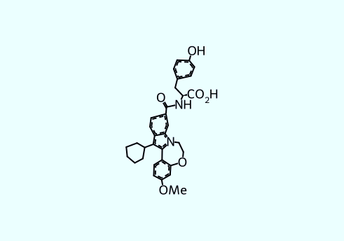 COc1ccc2c(c1)OCCn1c-2c(C2CCCCC2)c2ccc(C(=O)N[C@@H](Cc3ccc(O)cc3)C(=O)O)cc21